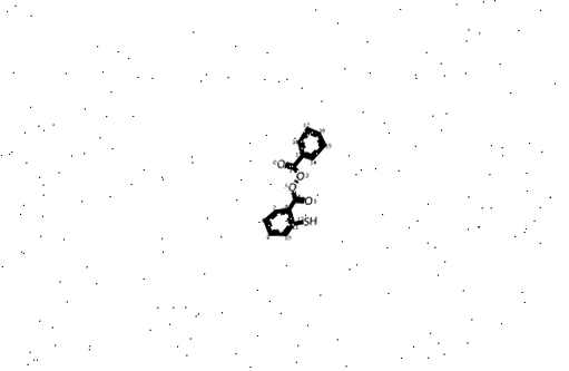 O=C(OOC(=O)c1ccccc1S)c1ccccc1